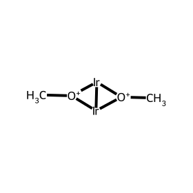 C[O+]1[Ir]2[O+](C)[Ir]12